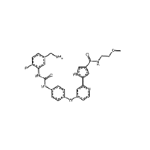 COCCNC(=O)c1c[nH]c(-c2cc(Oc3ccc(NC(=O)Nc4cc(CN)ccc4F)cc3)ccn2)c1